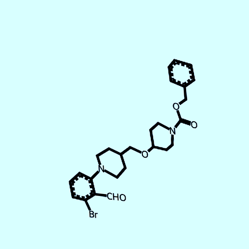 O=Cc1c(Br)cccc1N1CCC(COC2CCN(C(=O)OCc3ccccc3)CC2)CC1